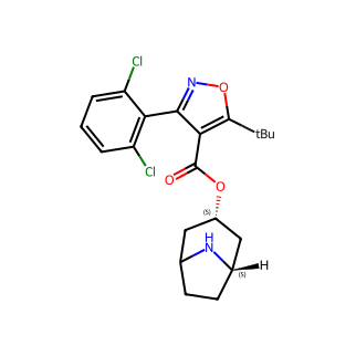 CC(C)(C)c1onc(-c2c(Cl)cccc2Cl)c1C(=O)O[C@H]1CC2CC[C@@H](C1)N2